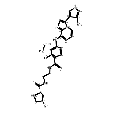 O=C(NCCNC(=O)[C@@H]1C[C@@H](O)CN1)c1ccc(Nc2nccn3c(-c4c[nH]nc4C(F)(F)F)cnc23)cc1Cl.O=CO